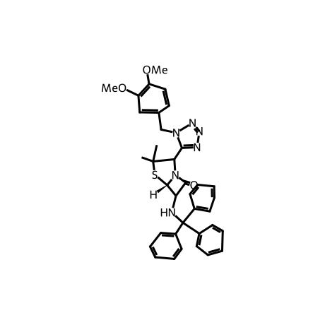 COc1ccc(Cn2nnnc2C2N3C(=O)C(NC(c4ccccc4)(c4ccccc4)c4ccccc4)[C@@H]3SC2(C)C)cc1OC